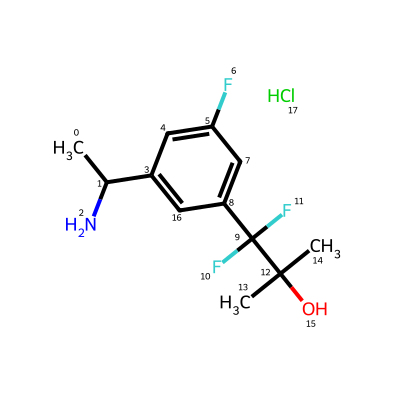 CC(N)c1cc(F)cc(C(F)(F)C(C)(C)O)c1.Cl